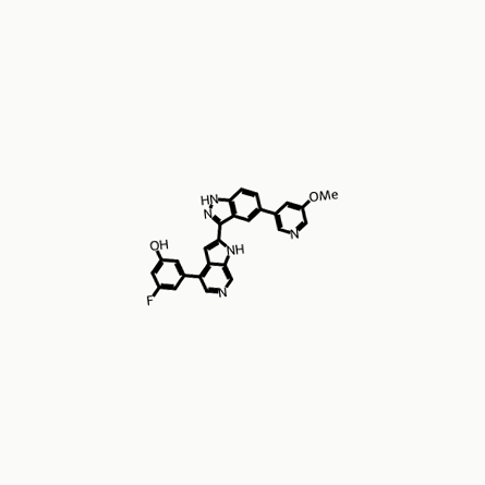 COc1cncc(-c2ccc3[nH]nc(-c4cc5c(-c6cc(O)cc(F)c6)cncc5[nH]4)c3c2)c1